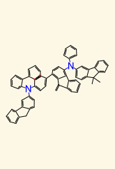 C=C1c2ccccc2-c2c(N(c3ccccc3)c3ccc4c(c3)-c3ccccc3C4(C)C)ccc(-c3ccc(N(c4ccc5c(c4)-c4ccccc4C5)c4ccccc4-c4ccccc4)cc3)c21